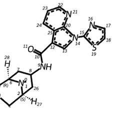 CN1[C@@H]2COC[C@H]1CC(NC(=O)c1cn(-c3nccs3)c3ncccc13)C2